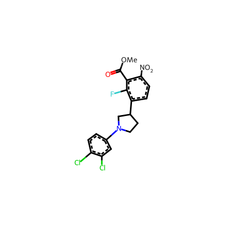 COC(=O)c1c([N+](=O)[O-])ccc(C2CCN(c3ccc(Cl)c(Cl)c3)C2)c1F